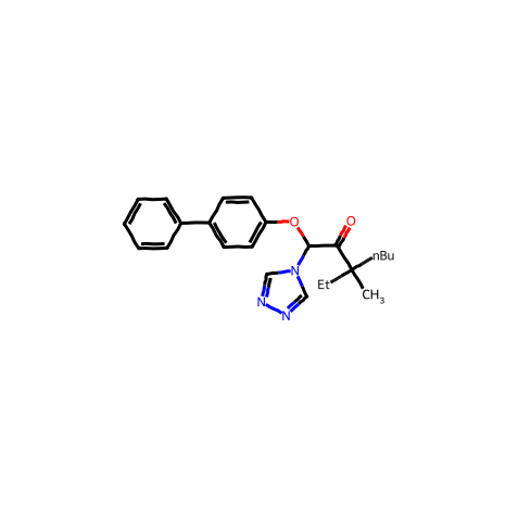 CCCCC(C)(CC)C(=O)C(Oc1ccc(-c2ccccc2)cc1)n1cnnc1